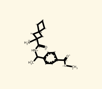 COC(=O)c1ccc(C(C)NC(=O)C2(N)CC3(CCC3)C2)cc1